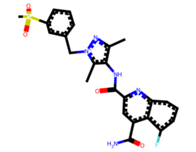 Cc1nn(Cc2cccc(S(C)(=O)=O)c2)c(C)c1NC(=O)c1cc(C(N)=O)c2c(F)cccc2n1